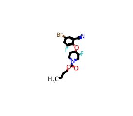 CCCCOC(=O)N1CCC(Oc2c(F)cc(Br)cc2C#N)C(F)C1